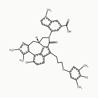 Cc1cc(OCCCc2c3n4c5c(c(Cl)ccc25)-c2c(nn(C)c2C)C[C@@H]4CN(c2cc(C(=O)O)cc4c2ccn4C)C3=O)cc(C)c1Cl